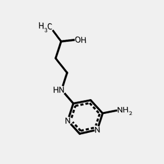 CC(O)CCNc1cc(N)ncn1